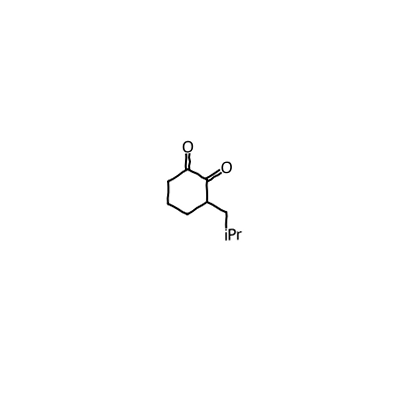 CC(C)CC1CCCC(=O)C1=O